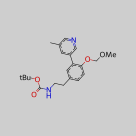 COCOc1ccc(CCNC(=O)OC(C)(C)C)cc1-c1cncc(C)c1